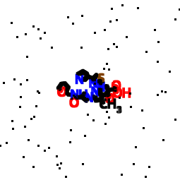 Cc1cc(N2CC(C(=O)NCC3CCCCO3)C2)nc2c1c(=O)c(C(=O)O)cn2-c1nc(-c2cccnc2)cs1